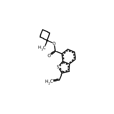 C=Cc1cc2cccc(C(=O)OC3(C)CCC3)c2s1